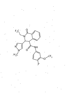 Cn1cc(C2C(C(=O)Nc3ccc(F)c(OC(F)(F)F)c3)c3ccccc3C(=O)N2CC(F)(F)F)cn1